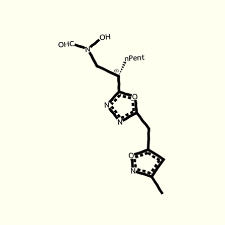 CCCCC[C@@H](CN(O)C=O)c1nnc(Cc2cc(C)no2)o1